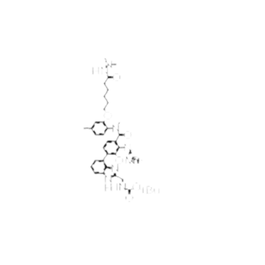 COc1c(-c2cccc3[nH]c(CNC(=O)OC(C)(C)C)nc23)ccc(C(=O)N(C)c2ccc(C)cc2OCCCCCC(=O)NN(C)C)c1N=C=O